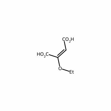 CCOC(=CC(=O)O)C(=O)O